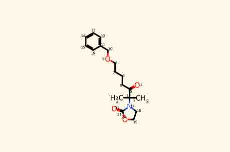 CC(C)(C(=O)CCCCOCc1ccccc1)N1CCOC1=O